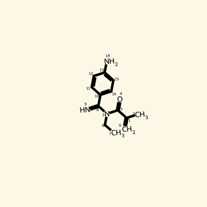 C=C(C)C(=O)N(CC)C(=N)c1ccc(N)cc1